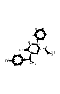 C[C@@H](c1ccc(Br)cc1)N1C[C@@H](CCO)[C@H](c2ccccc2)OC1=O